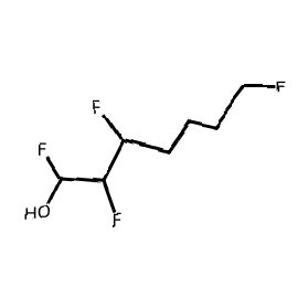 OC(F)C(F)C(F)CCCCF